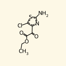 CCOC(=O)C(=O)c1nc(N)sc1Cl